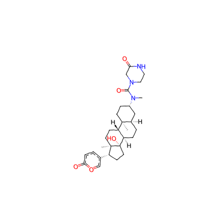 CN(C(=O)N1CCNC(=O)C1)[C@H]1CC[C@@]2(C)[C@H](CC[C@@H]3[C@@H]2CC[C@]2(C)[C@@H](c4ccc(=O)oc4)CC[C@]32O)C1